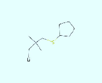 [Li][CH2]C(C)(C)CSC1CCCC1